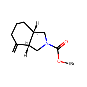 C=C1CCC[C@@H]2CN(C(=O)OC(C)(C)C)C[C@H]12